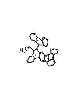 C=CC1C(C2c3ccccc3-c3cccc[n+]32)c2cc3c(cc2-c2cccc[n+]21)c1cccc2c4ccccc4n3c21